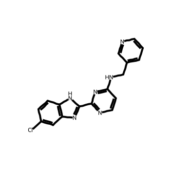 Clc1ccc2[nH]c(-c3nccc(NCc4cccnc4)n3)nc2c1